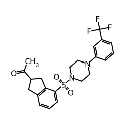 CC(=O)C1Cc2cccc(S(=O)(=O)N3CCN(c4cccc(C(F)(F)F)c4)CC3)c2C1